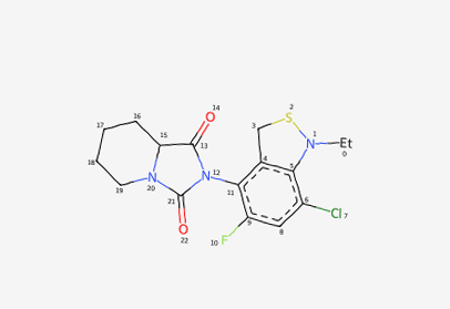 CCN1SCc2c1c(Cl)cc(F)c2N1C(=O)C2CCCCN2C1=O